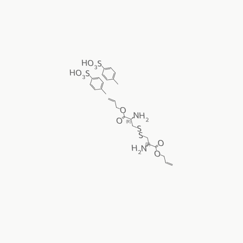 C=CCOC(=O)[C@@H](N)CSSC[C@H](N)C(=O)OCC=C.Cc1ccc(S(=O)(=O)O)cc1.Cc1ccc(S(=O)(=O)O)cc1